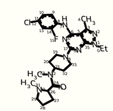 CCn1nc(C)c2c(Nc3ccc(Cl)cc3F)nc(N3CCC(N(C)C(=O)C4CCCN4C)CC3)nc21